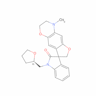 CN1CCOc2cc3c(cc21)OCC31C(=O)N(C[C@H]2CCCO2)c2ccccc21